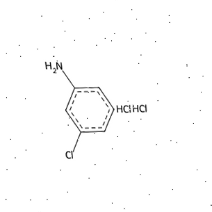 Cl.Cl.Nc1cccc(Cl)c1